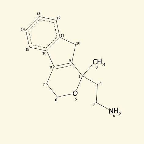 CC1(CCN)OCCC2=C1Cc1ccccc12